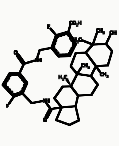 CC1(C)C(O)CCC2(C)C1CCC1(C)C2CCC2C3CCCC3(C(=O)NCc3cc(C(=O)NCc4cccc(C(=O)O)c4F)ccc3F)CC[C@]21C